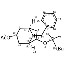 CC(=O)O[C@@H]1C[C@H]2CC(O[Si](C)(C)C(C)(C)C)[C@@H](C1)N2Cc1ccccc1